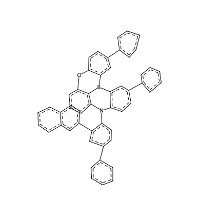 c1ccc(-c2ccc3c(c2)B2c4cc(-c5ccccc5)ccc4N(c4ccc(-c5ccccc5)cc4-c4ccc5ccccc5c4)c4cccc(c42)O3)cc1